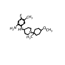 COC1CCC(C)(N2CCC(Nc3cc(C)c(F)cc3N)CC2)CC1